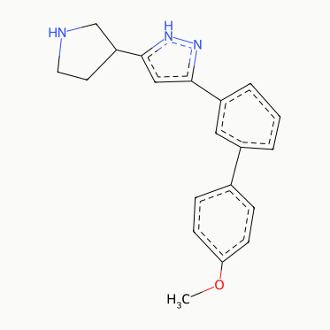 COc1ccc(-c2cccc(-c3cc(C4CCNC4)[nH]n3)c2)cc1